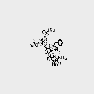 CNc1nc(N)nc2c1ncn2C1OC(COP(=O)(OCOC(=O)C(C)(C)C)OCOC(=O)C(C)(C)C)C(OC(=O)Cc2ccccc2)C1(C)F